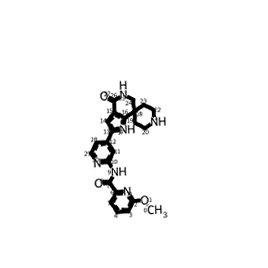 COc1cccc(C(=O)Nc2cc(-c3cc4c([nH]3)C3(CCNCC3)CNC4=O)ccn2)n1